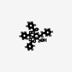 O=C(O[C@H]1[C@H](OC(=O)c2ccccc2)[C@@H](CO)N(CCc2ccccc2)C[C@@H]1OC(=O)c1ccccc1)c1ccccc1